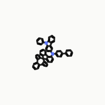 c1ccc(-c2ccc(N(c3ccc4c(c3)c3ccccc3n4-c3ccccc3)c3cccc4c3-c3ccccc3C43c4ccccc4-c4ccccc4-c4ccccc43)cc2)cc1